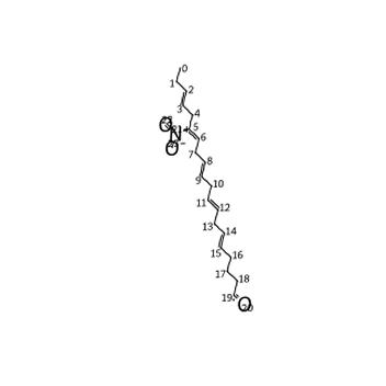 CC/C=C/C/C(=C/C/C=C/C/C=C/C/C=C/CCC[C]=O)[N+](=O)[O-]